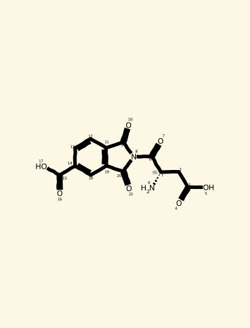 N[C@@H](CC(=O)O)C(=O)N1C(=O)c2ccc(C(=O)O)cc2C1=O